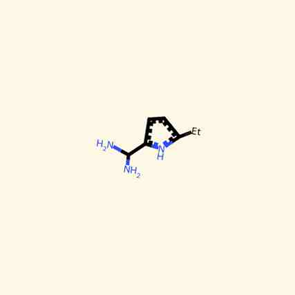 CCc1ccc(C(N)N)[nH]1